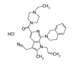 C=CCn1c(C)c(CC#N)c2cc(C(=O)N3CCN(CC)CC3)nc(N3CCc4ccccc4C3)c21.Cl